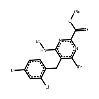 CCNc1nc(C(=O)OC(C)(C)C)nc(C(C)C)c1Cc1ccc(Cl)cc1Cl